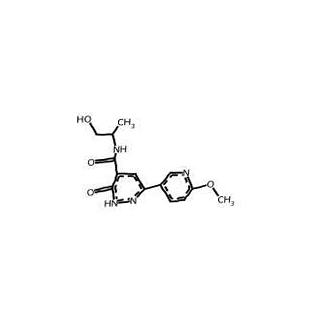 COc1ccc(-c2cc(C(=O)NC(C)CO)c(=O)[nH]n2)cn1